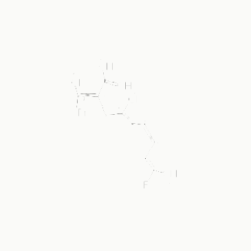 C=C(C)/C(C/C(C)=C/C=C\C=C(/C)F)=C(\C)C(C)C